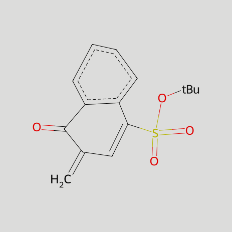 C=C1C=C(S(=O)(=O)OC(C)(C)C)c2ccccc2C1=O